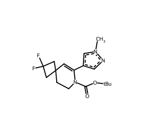 Cn1cc(C2=CC3(CCN2C(=O)OC(C)(C)C)CC(F)(F)C3)cn1